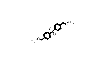 COCc1ccc(S(=O)(=O)c2ccc(COC)cc2)cc1